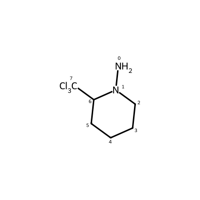 NN1CCCCC1C(Cl)(Cl)Cl